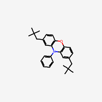 CC(C)(C)Cc1ccc2c(c1)N(c1ccccc1)c1cc(CC(C)(C)C)ccc1O2